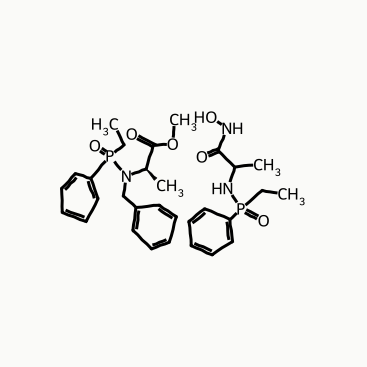 CCP(=O)(NC(C)C(=O)NO)c1ccccc1.CCP(=O)(c1ccccc1)N(Cc1ccccc1)[C@H](C)C(=O)OC